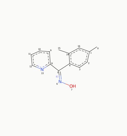 Cc1ccc(/C(=N\O)c2ccccn2)c(C)c1